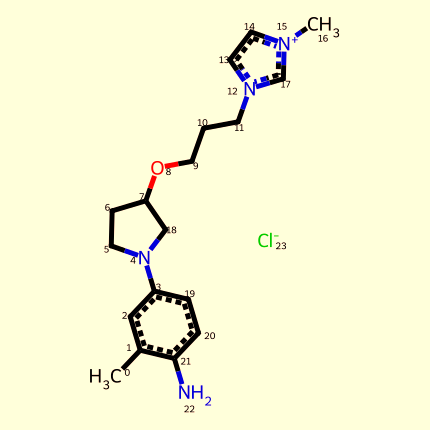 Cc1cc(N2CCC(OCCCn3cc[n+](C)c3)C2)ccc1N.[Cl-]